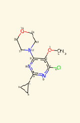 COc1c(Cl)nc(C2CC2)nc1N1CCOCC1